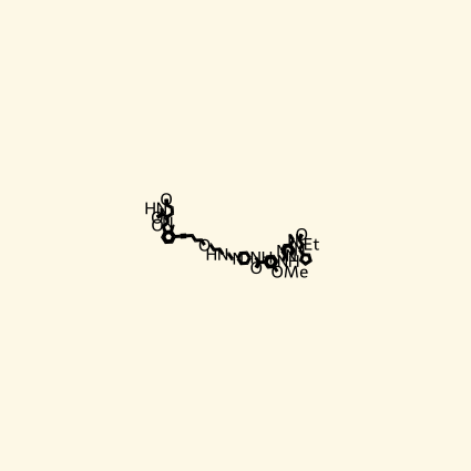 CC[C@@H]1C(=O)N(C)c2cnc(Nc3ccc(C(=O)NC4CCN(CCNCCCOCCCC#Cc5cccc6c5CN(C5CCC(=O)NC5=O)C6=O)CC4)cc3OC)nc2N1C1CCCC1